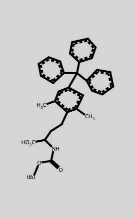 Cc1cc(C(c2ccccc2)(c2ccccc2)c2ccccc2)cc(C)c1CCC(NC(=O)OC(C)(C)C)C(=O)O